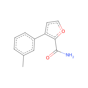 Cc1cccc(-c2ccoc2C(N)=O)c1